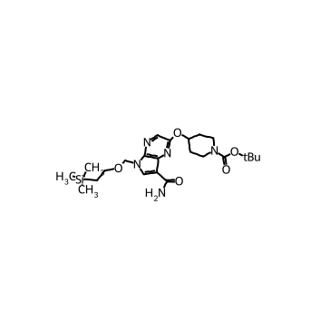 CC(C)(C)OC(=O)N1CCC(Oc2cnc3c(n2)c(C(N)=O)cn3COCC[Si](C)(C)C)CC1